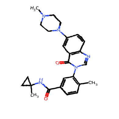 Cc1ccc(C(=O)NC2(C)CC2)cc1-n1cnc2ccc(N3CCN(C)CC3)cc2c1=O